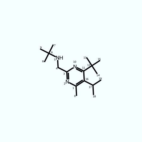 Cc1nc(CNC(C)(C)C)nc(C(C)(C)C)c1C(C)C